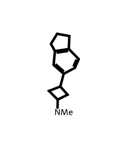 CNC1CC(c2ccc3c(c2)CCC3)C1